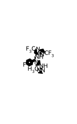 Cn1ccnc1NC1CN([C@@H](CNc2cc(C(F)(F)F)nc3cc(C(F)(F)F)nn23)c2ccc(F)cc2)C1